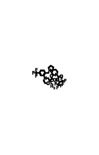 CC1(C(=O)O)CN(c2cc(C(F)(F)F)ccc2CN2CCCC23CCN(C(=O)OC(C(F)(F)F)C(F)(F)F)CC3)CCO1